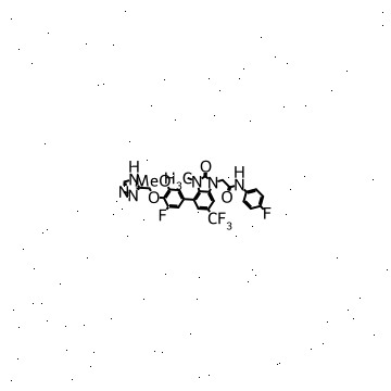 COc1cc(-c2cc(C(F)(F)F)cc3c2n(C)c(=O)n3CC(=O)Nc2ccc(F)cc2)cc(F)c1OCc1nnc[nH]1